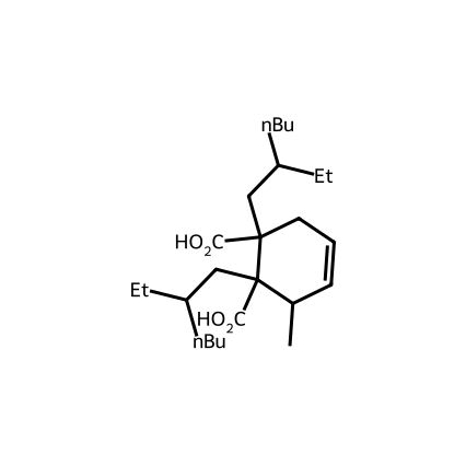 CCCCC(CC)CC1(C(=O)O)CC=CC(C)C1(CC(CC)CCCC)C(=O)O